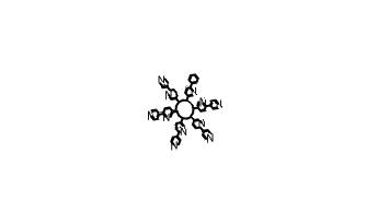 c1ccc(-c2ccc(C3CC(c4ccc(-c5ccncc5)nc4)CC(c4ccc(-c5ccncc5)nc4)CC(c4ccc(-c5ccncc5)nc4)CC(c4ccc(-c5ccncc5)nc4)CC(c4ccc(-c5ccncc5)nc4)C3)cn2)cc1